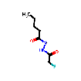 CCCCC(=O)[N]NC(=O)CF